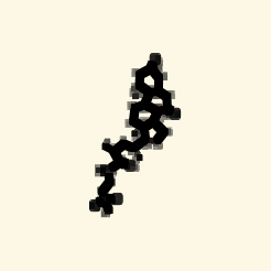 C[C@H](C[C@H](C)C(=O)NCCS(C)(=O)=O)[C@H]1CCC2C3C(=O)CC4CC(=O)CC[C@]4(C)C3CC[C@@]21C